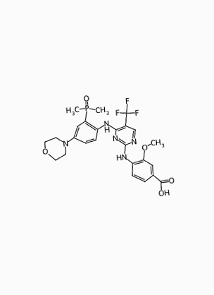 COc1cc(C(=O)O)ccc1Nc1ncc(C(F)(F)F)c(Nc2ccc(N3CCOCC3)cc2P(C)(C)=O)n1